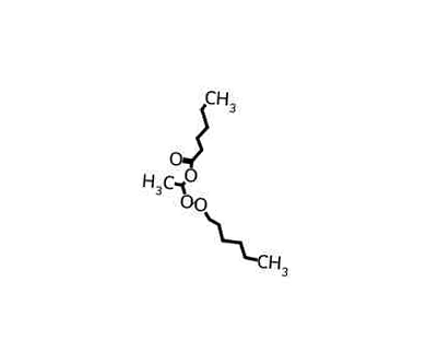 CCCCCCOOC(C)OC(=O)CCCCC